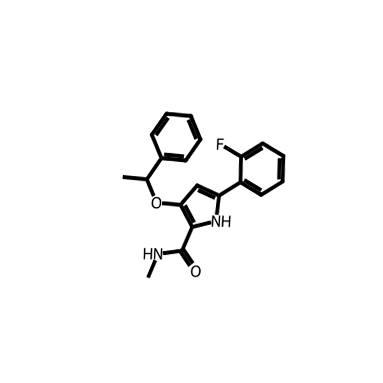 CNC(=O)c1[nH]c(-c2ccccc2F)cc1OC(C)c1ccccc1